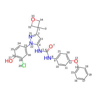 CC1(c2cc(NC(=O)Nc3ccc(Oc4ccccc4)cc3)n(-c3ccc(O)c(Cl)c3)n2)COC1